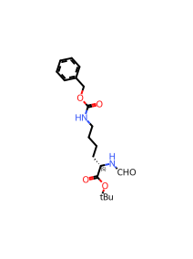 CC(C)(C)OC(=O)[C@H](CCCCNC(=O)OCc1ccccc1)NC=O